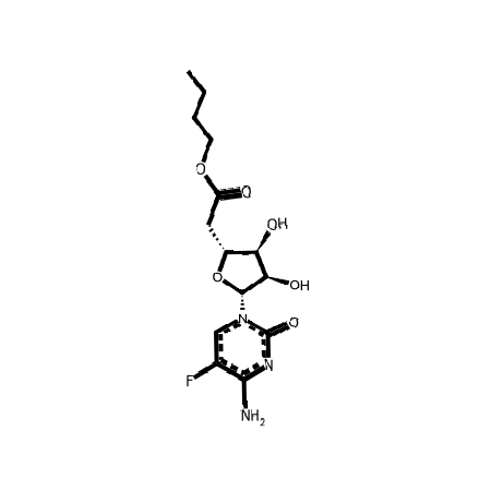 CCCCOC(=O)C[C@H]1O[C@@H](n2cc(F)c(N)nc2=O)[C@H](O)[C@@H]1O